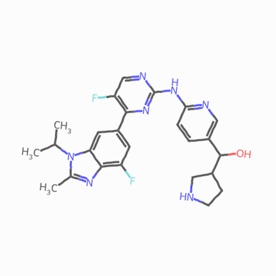 Cc1nc2c(F)cc(-c3nc(Nc4ccc(C(O)C5CCNC5)cn4)ncc3F)cc2n1C(C)C